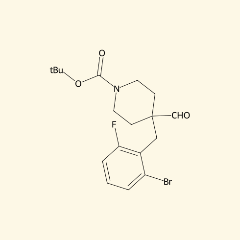 CC(C)(C)OC(=O)N1CCC(C=O)(Cc2c(F)cccc2Br)CC1